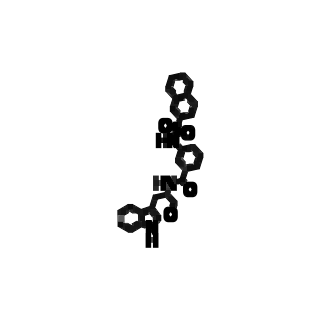 O=CC(Cc1c[nH]c2ccccc12)NC(=O)c1cccc(NS(=O)(=O)c2ccc3ccccc3c2)c1